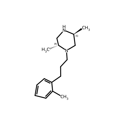 Cc1ccccc1CCCN1C[C@H](C)NC[C@H]1C